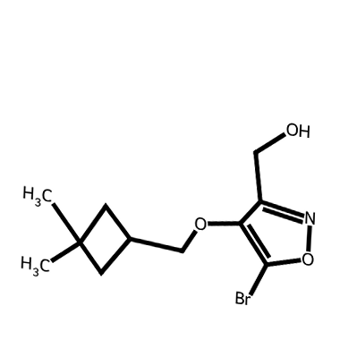 CC1(C)CC(COc2c(CO)noc2Br)C1